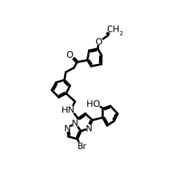 C=COc1cccc(C(=O)CCc2cccc(CNc3cc(-c4ccccc4O)nc4c(Br)cnn34)c2)c1